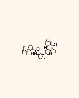 CCN1C(=O)[C@@H]2COCC[C@H]2c2cc(-c3cc(NC(=O)c4cccc(C(F)(F)F)c4)ccc3C)cnc21